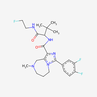 CN1CCCn2c(-c3ccc(F)c(F)c3)nc(C(=O)NC(C(=O)NCCF)C(C)(C)C)c2C1